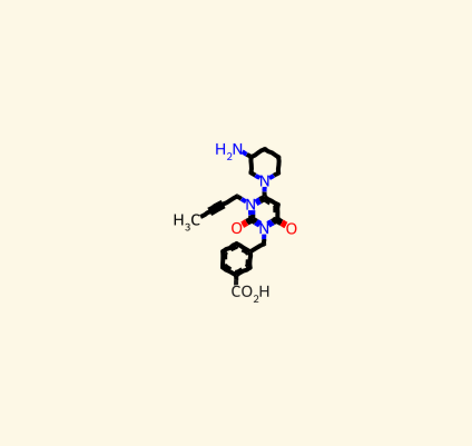 CC#CCn1c(N2CCCC(N)C2)cc(=O)n(Cc2cccc(C(=O)O)c2)c1=O